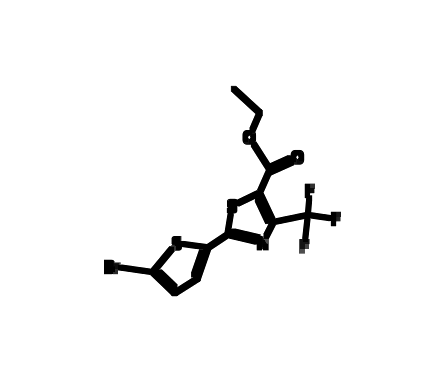 CCOC(=O)c1sc(-c2ccc(Br)s2)nc1C(F)(F)F